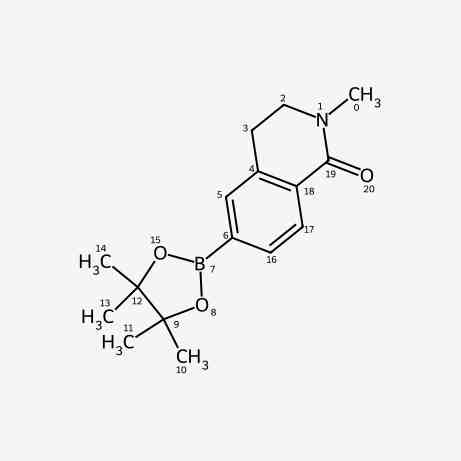 CN1CCc2cc(B3OC(C)(C)C(C)(C)O3)ccc2C1=O